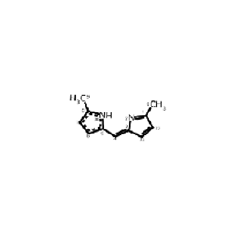 CC1=N/C(=C\c2ccc(C)[nH]2)C=C1